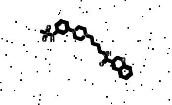 CS(=O)(=O)Nc1cccc(N2CCN(CCCCNC(=O)C3=Cc4ccccc4OC3)CC2)c1